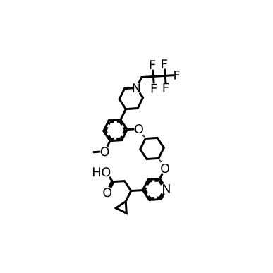 COc1ccc(C2CCN(CC(F)(F)C(F)(F)F)CC2)c(O[C@H]2CC[C@@H](Oc3cc(C(CC(=O)O)C4CC4)ccn3)CC2)c1